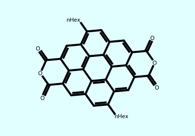 CCCCCCc1cc2cc3c(=O)oc(=O)c4cc5c(CCCCCC)cc6cc7c(=O)oc(=O)c8cc1c1c2c(c34)c5c6c1c78